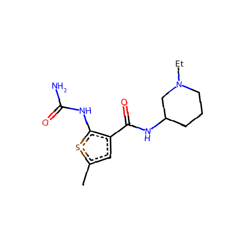 CCN1CCCC(NC(=O)c2cc(C)sc2NC(N)=O)C1